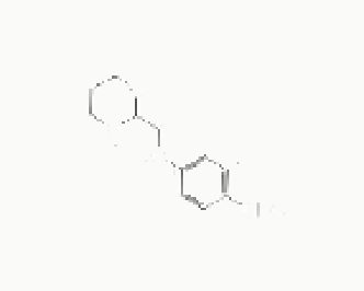 O=Cc1ccc(OCC2OCCCO2)cc1